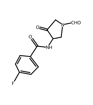 O=CN1CC(=O)C(NC(=O)c2ccc(F)cc2)C1